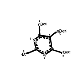 C[CH]c1nc(CCCCCCCCCC)c(CCCCCCCCCC)c(CCCCCCCCCC)n1